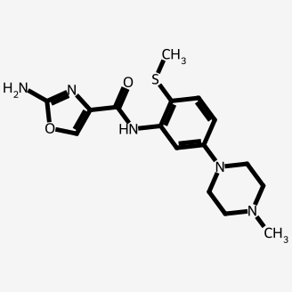 CSc1ccc(N2CCN(C)CC2)cc1NC(=O)c1coc(N)n1